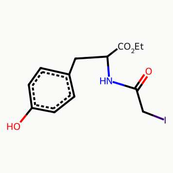 CCOC(=O)C(Cc1ccc(O)cc1)NC(=O)CI